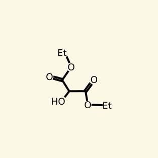 CCOC(=O)C(O)C(=O)OCC